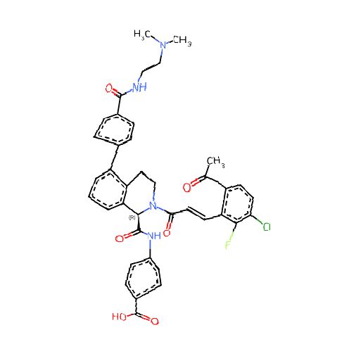 CC(=O)c1ccc(Cl)c(F)c1C=CC(=O)N1CCc2c(-c3ccc(C(=O)NCCN(C)C)cc3)cccc2[C@@H]1C(=O)Nc1ccc(C(=O)O)cc1